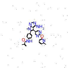 C=C(C)C(=O)Nc1ccc(-c2c(-c3cnc(Oc4cccc(C)n4)nc3)c3c(N)ncnc3n2C)cc1